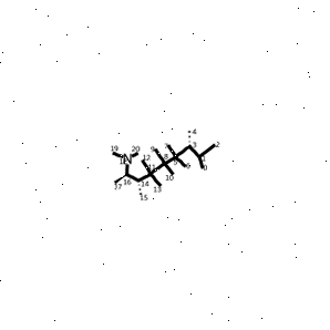 CC(C)[C@@H](C)C(C)(C)C(C)(C)C(C)(C)[C@H](C)[C@@H](C)N(C)C